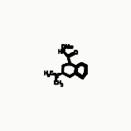 CONC(=O)N1C[C@H](N(C)C)Cc2ccccc21